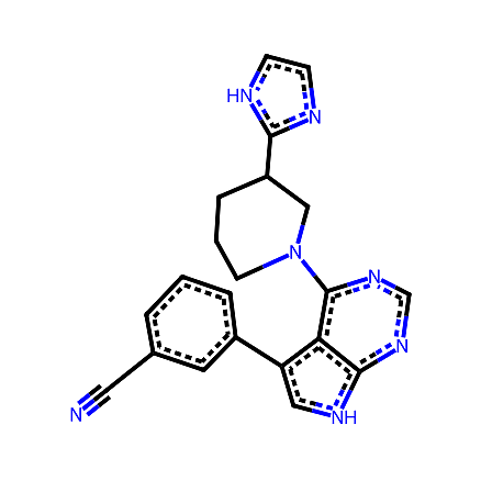 N#Cc1cccc(-c2c[nH]c3ncnc(N4CCCC(c5ncc[nH]5)C4)c23)c1